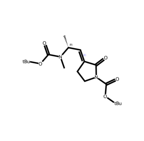 C[C@H](/C=C1\CCN(C(=O)OC(C)(C)C)C1=O)N(C)C(=O)OC(C)(C)C